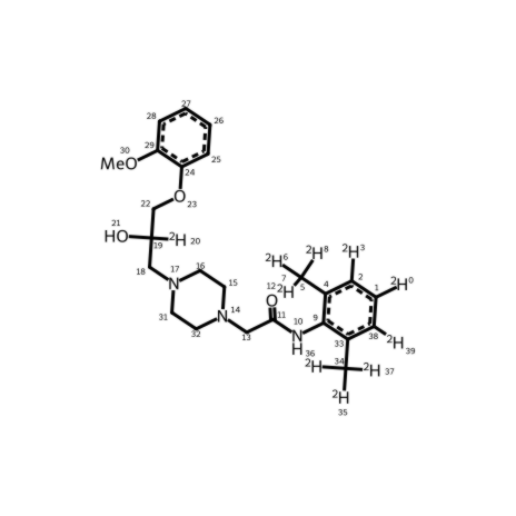 [2H]c1c([2H])c(C([2H])([2H])[2H])c(NC(=O)CN2CCN(CC([2H])(O)COc3ccccc3OC)CC2)c(C([2H])([2H])[2H])c1[2H]